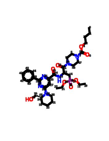 CCCCOC(=O)N1CCN(C(=O)C(CP(=O)(OCC)OCC)NC(=O)c2cc(N3CCCC[C@@H]3CO)nc(-c3ccccc3)n2)CC1